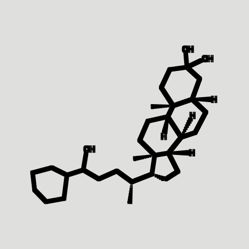 C[C@H](CCC(O)C1CCCCC1)[C@H]1CC[C@H]2[C@@H]3CC[C@H]4CC(O)(O)CC[C@]4(C)[C@H]3CC[C@]12C